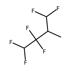 CC(C(F)F)C(F)(F)C(F)F